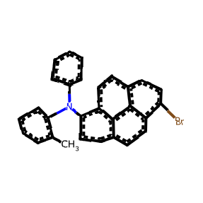 Cc1ccccc1N(c1ccccc1)c1ccc2ccc3c(Br)ccc4ccc1c2c43